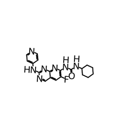 O=C(Nc1nc2nc(Nc3ccncc3)ncc2cc1F)NC1CCCCC1